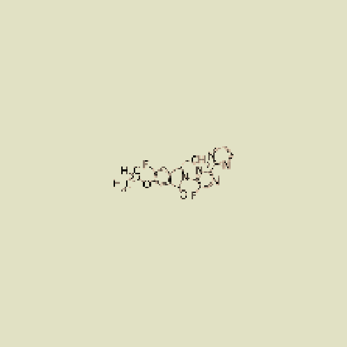 CC[C@H]1c2cc(F)c(OC(C)C)cc2C(=O)N1c1nc(-c2ncccn2)ncc1F